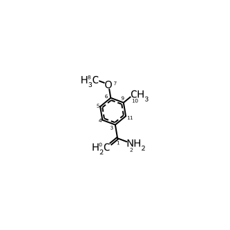 C=C(N)c1ccc(OC)c(C)c1